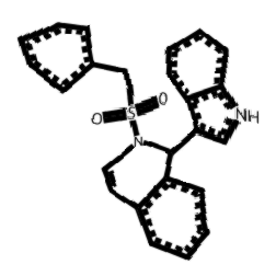 O=S(=O)(Cc1ccccc1)N1C=Cc2ccccc2C1c1c[nH]c2ccccc12